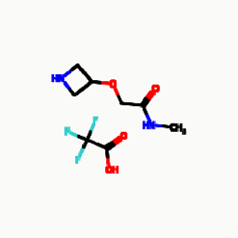 CNC(=O)COC1CNC1.O=C(O)C(F)(F)F